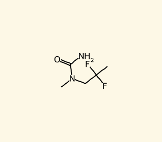 CN(CC(C)(F)F)C(N)=O